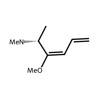 C=C/C=C(/OC)[C@@H](C)NC